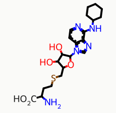 NC(CCSCC1OC(n2cnc3c(NC4CCCCC4)nccc32)C(O)C1O)C(=O)O